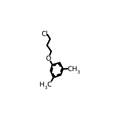 Cc1cc(C)cc(OCCCCl)c1